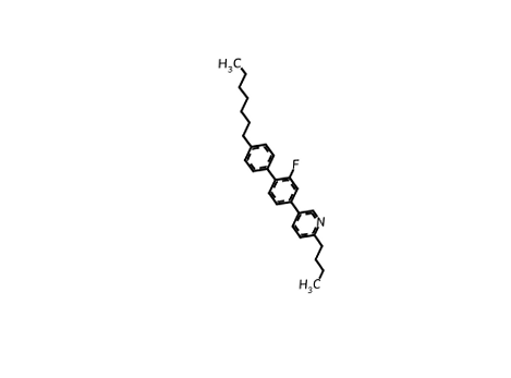 CCCCCCCc1ccc(-c2ccc(-c3ccc(CCCC)nc3)cc2F)cc1